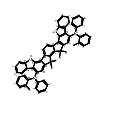 Cc1ccccc1N(c1ccccc1)c1cc2c(c3oc4c(c13)CCC=C4)-c1ccc3c(c1C2(C)C)C(C)(C)c1cc(N(c2ccccc2)c2ccccc2C)c2c(oc4ccccc42)c1-3